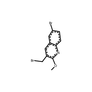 COc1nc2ccc(Br)cc2cc1CBr